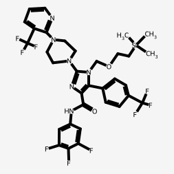 C[Si](C)(C)CCOCn1c(N2CCN(c3ncccc3C(F)(F)F)CC2)nc(C(=O)Nc2cc(F)c(F)c(F)c2)c1-c1ccc(C(F)(F)F)cc1